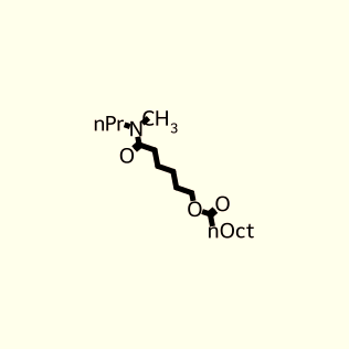 CCCCCCCCC(=O)OCCCCCC(=O)N(C)CCC